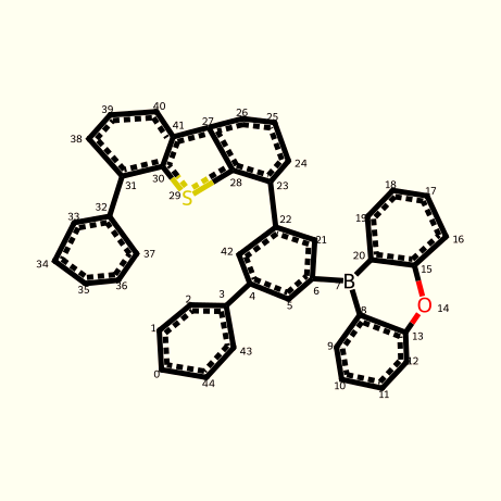 c1ccc(-c2cc(B3c4ccccc4Oc4ccccc43)cc(-c3cccc4c3sc3c(-c5ccccc5)cccc34)c2)cc1